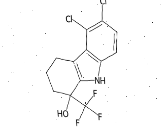 OC1(C(F)(F)F)CCCc2c1[nH]c1ccc(Cl)c(Cl)c21